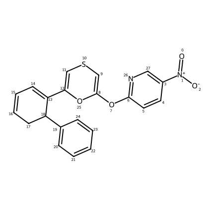 O=[N+]([O-])c1ccc(OC2=CSC=C(C3=CC=CCC3c3ccccc3)O2)nc1